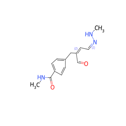 CN/N=C\C=C(/C=O)Cc1ccc(C(=O)NC)cc1